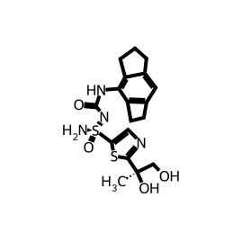 C[C@@](O)(CO)c1ncc([S@](N)(=O)=NC(=O)Nc2c3c(cc4c2CC4)CCC3)s1